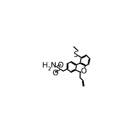 C=CCC1Oc2cccc(SCC)c2-c2ccc(CS(N)(=O)=O)cc21